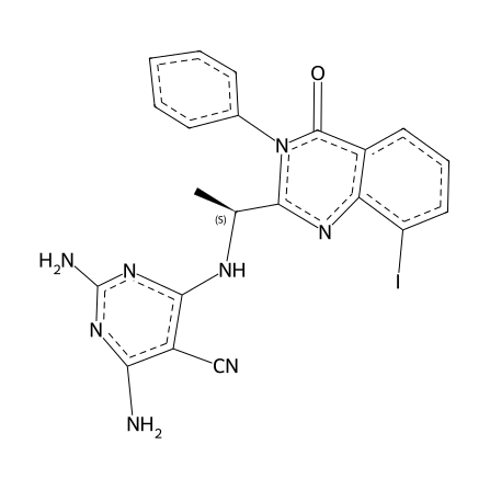 C[C@H](Nc1nc(N)nc(N)c1C#N)c1nc2c(I)cccc2c(=O)n1-c1ccccc1